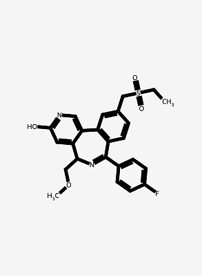 CCS(=O)(=O)Cc1ccc2c(c1)-c1cnc(O)cc1C(COC)N=C2c1ccc(F)cc1